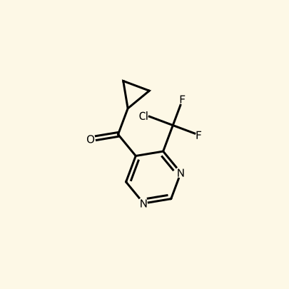 O=C(c1cncnc1C(F)(F)Cl)C1CC1